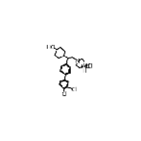 Cl.Cl.OC1CCC(C(CN2CCNCC2)c2ccc(-c3ccc(Cl)c(Cl)c3)cc2)CC1